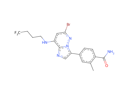 Cc1cc(-c2cnc3c(NCCCC(F)(F)F)cc(Br)nn23)ccc1C(N)=O